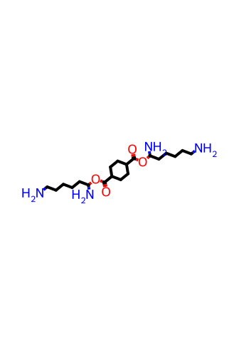 NCCCCCC(N)OC(=O)C1CCC(C(=O)OC(N)CCCCCN)CC1